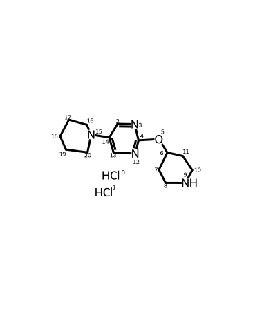 Cl.Cl.c1nc(OC2CCNCC2)ncc1N1CCCCC1